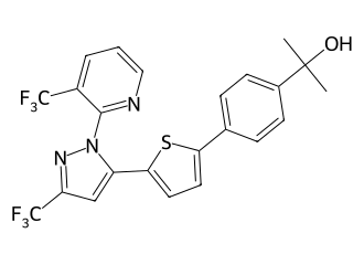 CC(C)(O)c1ccc(-c2ccc(-c3cc(C(F)(F)F)nn3-c3ncccc3C(F)(F)F)s2)cc1